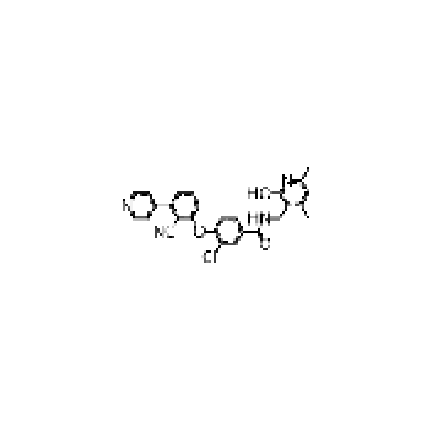 Cc1cc(C)c(CNC(=O)c2ccc(Oc3cccc(-c4ccncc4)c3C#N)c(Cl)c2)c(O)n1